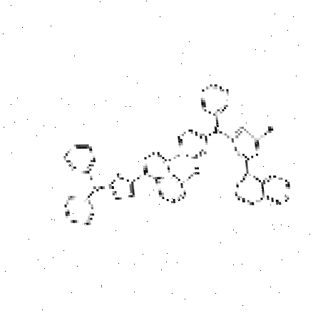 Fc1cc(-c2cccc3ccccc23)cc(N(c2ccccc2)c2ccc3c(c2)Oc2cccc4c(-c5ccc(N(c6ccccc6)c6ccccc6)s5)ccc-3c24)c1